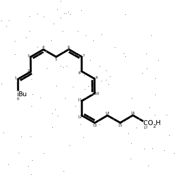 CCC(C)/C=C/C=C\C/C=C\C/C=C\C/C=C\CCCC(=O)O